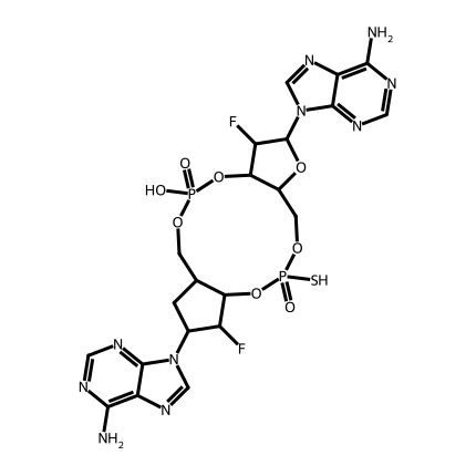 Nc1ncnc2c1ncn2C1CC2COP(=O)(O)OC3C(COP(=O)(S)OC2C1F)OC(n1cnc2c(N)ncnc21)C3F